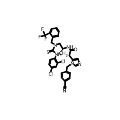 C[C@@H](CN(Cc1ccccc1C(F)(F)F)C(=S)Nc1ccc(Cl)cc1Cl)NC(=O)Cc1cncn1Cc1ccc(C#N)cc1